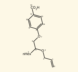 C=CCOC(CCCCCC)COc1ccc(C(=O)O)cc1